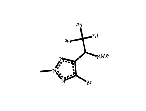 [2H]C([2H])([2H])C(NC)c1nn(C)nc1Br